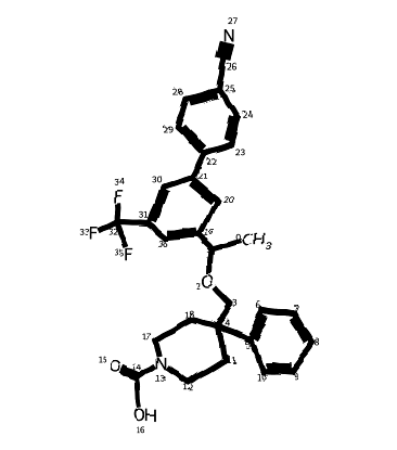 CC(OCC1(c2ccccc2)CCN(C(=O)O)CC1)c1cc(-c2ccc(C#N)cc2)cc(C(F)(F)F)c1